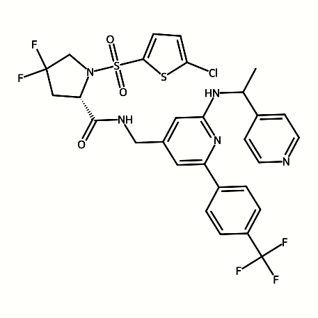 CC(Nc1cc(CNC(=O)[C@@H]2CC(F)(F)CN2S(=O)(=O)c2ccc(Cl)s2)cc(-c2ccc(C(F)(F)F)cc2)n1)c1ccncc1